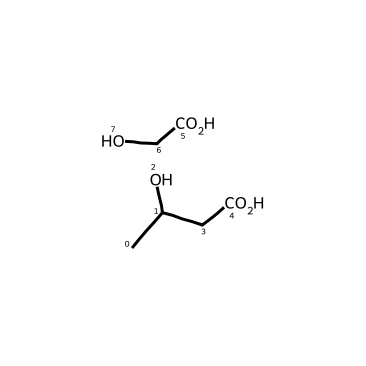 CC(O)CC(=O)O.O=C(O)CO